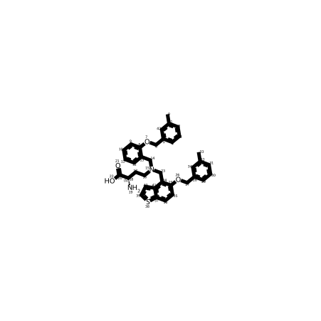 Cc1cccc(COc2ccccc2CN(CC[C@H](N)C(=O)O)Cc2c(OCc3cccc(C)c3)ccc3sccc23)c1